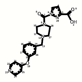 O=C(O)c1ccn(C(=O)N2CCN(Cc3cccc(Oc4ccncc4)c3)CC2)n1